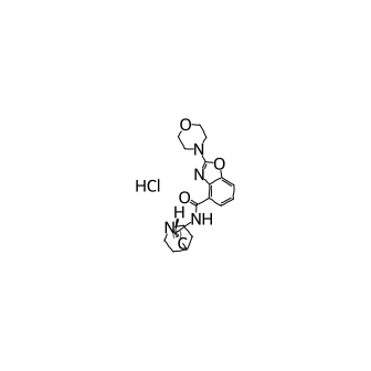 Cl.O=C(N[C@@H]1CC2CCN1CC2)c1cccc2oc(N3CCOCC3)nc12